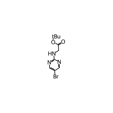 CC(C)(C)OC(=O)CNc1ncc(Br)cn1